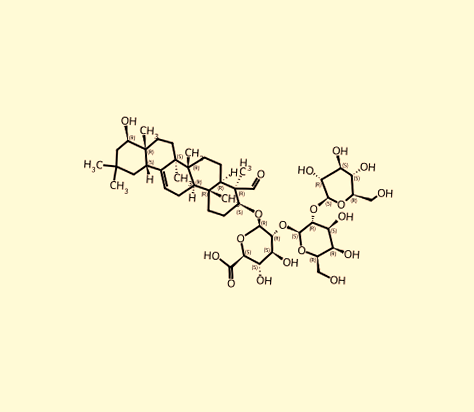 CC1(C)C[C@@H](O)[C@]2(C)CC[C@]3(C)C(=CC[C@@H]4[C@@]5(C)CC[C@H](O[C@@H]6O[C@H](C(=O)O)[C@@H](O)[C@H](O)[C@H]6O[C@@H]6O[C@H](CO)[C@H](O)[C@H](O)[C@H]6O[C@@H]6O[C@H](CO)[C@@H](O)[C@H](O)[C@H]6O)[C@](C)(C=O)[C@@H]5CC[C@]43C)[C@@H]2C1